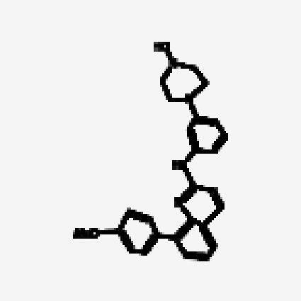 COc1ccc(-c2cccc3cnc(Nc4cccc(N5CCN(O)CC5)c4)nc23)cc1